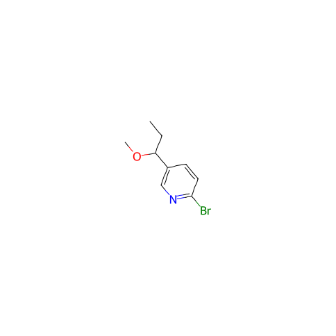 CCC(OC)c1ccc(Br)nc1